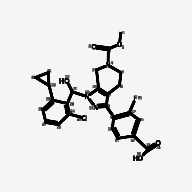 COC(=O)N1CCc2c(-c3ccc(C(=O)O)cc3F)nn(C(O)c3c(Cl)cccc3C3CC3)c2C1